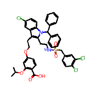 CC(C)Oc1cc(OCCc2c(CCNS(=O)(=O)Cc3ccc(Cl)c(Cl)c3)n(C(c3ccccc3)c3ccccc3)c3ccc(Cl)cc23)ccc1C(=O)O